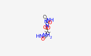 Cc1cc(CC(C)C(N)C([NH])=O)cc(C)c1C=CS(=O)(=O)N1CCC2(CC1)N=C(C1CCCCC1)NC2=O